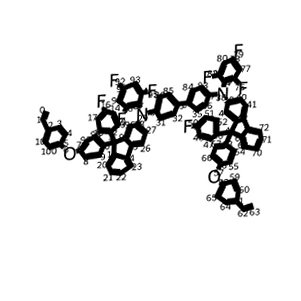 C=Cc1ccc(Oc2ccc(C3(c4ccc(F)cc4)c4ccccc4-c4ccc(N(c5ccc(-c6ccc(N(c7ccc8c(c7)C(c7ccc(F)cc7)(c7ccc(Oc9ccc(C=C)cc9)cc7)c7ccccc7-8)c7c(F)cc(F)cc7F)cc6)cc5)c5c(F)cc(F)cc5F)cc43)cc2)cc1